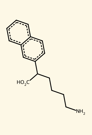 NCCCCC(C(=O)O)c1ccc2ccccc2c1